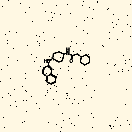 O=C(CC1CCCCC1)NC1CCN(Bc2ccc3ccccc3c2)CC1